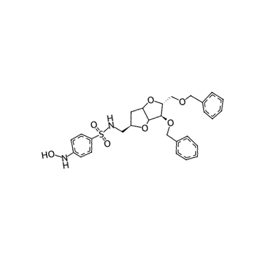 O=S(=O)(NC[C@H]1CC2O[C@H](COCc3ccccc3)[C@@H](OCc3ccccc3)C2O1)c1ccc(NO)cc1